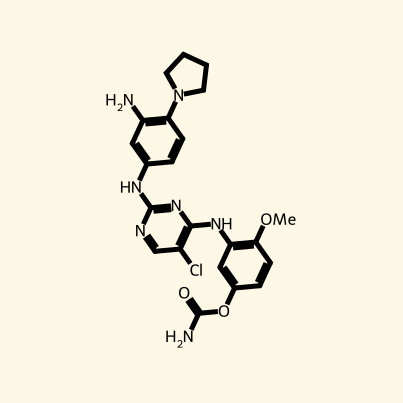 COc1ccc(OC(N)=O)cc1Nc1nc(Nc2ccc(N3CCCC3)c(N)c2)ncc1Cl